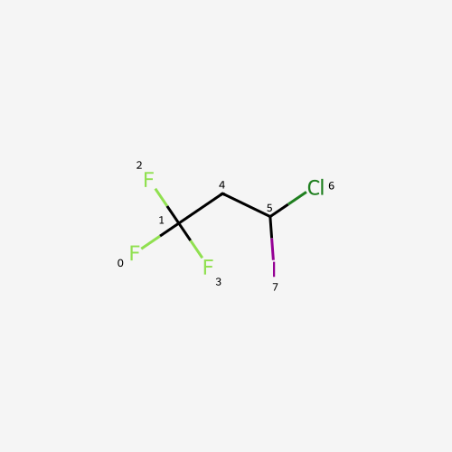 FC(F)(F)CC(Cl)I